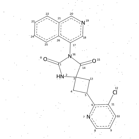 O=C1NC2(CC(c3ncccc3Cl)C2)C(=O)N1c1cncc2ccccc12